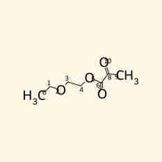 CCOCCOC(=O)C(C)=O